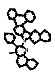 Cc1c(-c2ccccc2)c(-n2c3cc4ccccc4cc3c3c4c5ccccc5c5ccccc5c4ccc32)nc2c1ccc1ccccc12